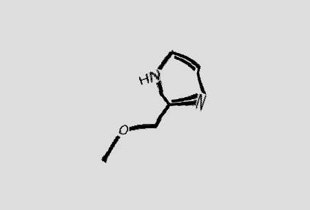 COCc1nc[c][nH]1